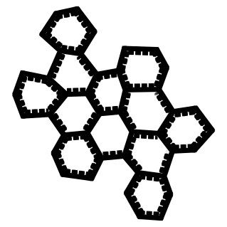 c1ccc2c(c1)c1cccc3c4cccc5c6c7ccccc7c7cccc8c9cccc%10c2c(c13)c(c45)c(c9%10)c6c78